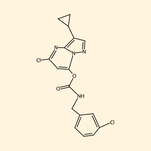 O=C(NCc1cccc(Cl)c1)Oc1cc(Cl)nc2c(C3CC3)cnn12